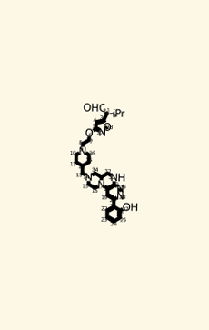 CC(C)[C@@H](C=O)c1cc(OCCN2CCC(CN3CCN4c5cc(-c6ccccc6O)nnc5NCC4C3)CC2)no1